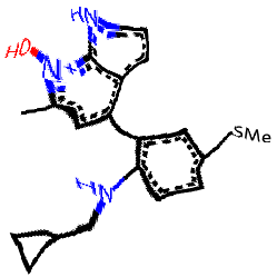 CSc1ccc(NCC2CC2)c(-c2cc(C)[n+](O)c3[nH]ccc23)c1